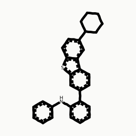 c1ccc(Nc2ccccc2-c2ccc3c(c2)sc2ccc(C4CCCCC4)cc23)cc1